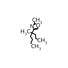 CCCCC(C)(CCC)c1coc(C)n1